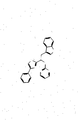 c1ccc(-c2c[nH]c([C@@H](Cc3c[nH]c4ccccc34)Nc3ncccn3)n2)cc1